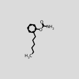 CCCCCCc1ccccc1OC(N)=O